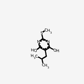 CSc1nc(O)c(CC(C)C)c(O)n1